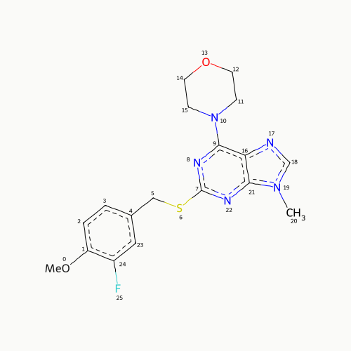 COc1ccc(CSc2nc(N3CCOCC3)c3ncn(C)c3n2)cc1F